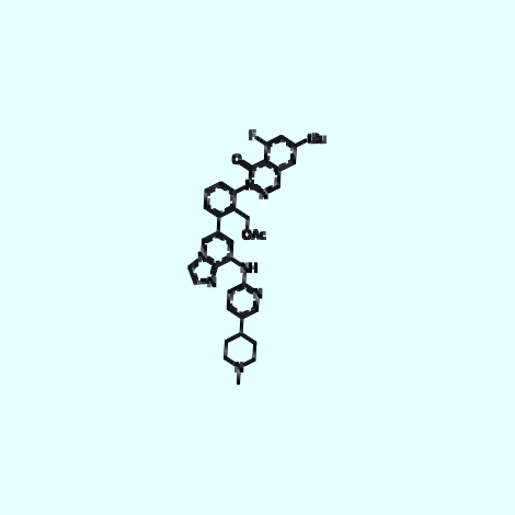 CC(=O)OCc1c(-c2cc(Nc3ccc(C4CCN(C)CC4)cn3)c3nccn3c2)cccc1-n1ncc2cc(C(C)(C)C)cc(F)c2c1=O